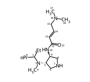 CCCC(CC)N(C)[C@H]1CNC[C@@H]1NC(=O)/C=C/CN(C)C